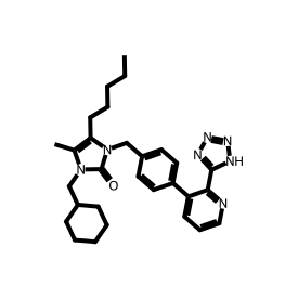 CCCCCc1c(C)n(CC2CCCCC2)c(=O)n1Cc1ccc(-c2cccnc2-c2nnn[nH]2)cc1